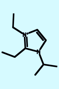 CCc1n(C(C)C)cc[n+]1CC